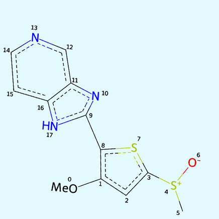 COc1cc([S+](C)[O-])sc1-c1nc2cnccc2[nH]1